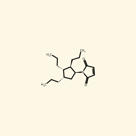 CCC[C@H]1C[C@H](N2C(=O)C=CC2=O)[C@H](CCC)[C@H]1CCC